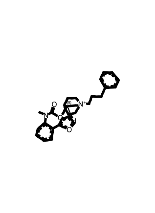 CN(C(=O)O[C@H]1C[N+]2(CCCc3ccccc3)CCC1CC2)c1ccccc1-c1ccco1